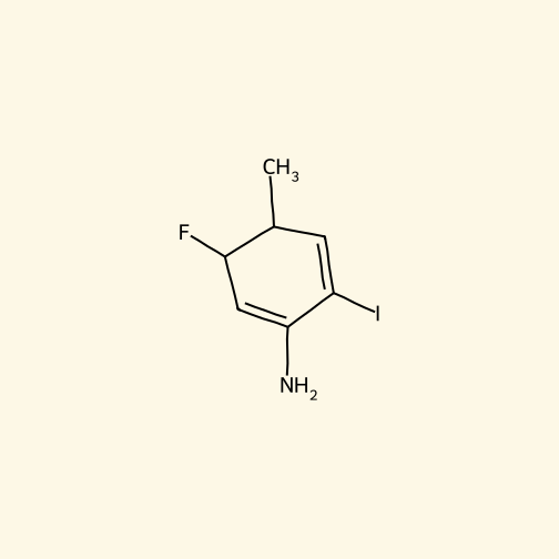 CC1C=C(I)C(N)=CC1F